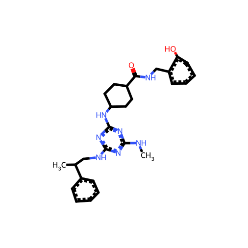 CNc1nc(NCC(C)c2ccccc2)nc(NC2CCC(C(=O)NCc3ccccc3O)CC2)n1